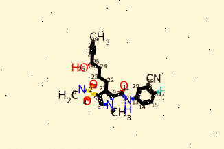 C=NS(=O)(=O)c1cn(C)c(C(=O)Nc2ccc(F)c(C#N)c2)c1CCC[C@H](O)C#CC